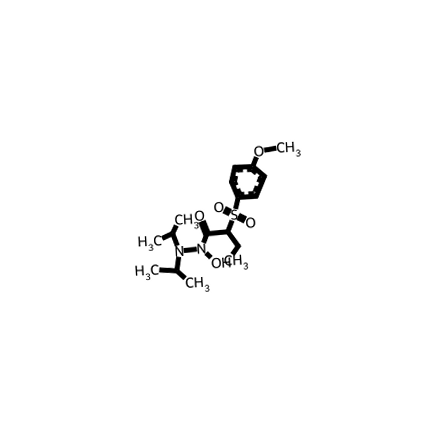 CCC(C(=O)N(O)N(C(C)C)C(C)C)S(=O)(=O)c1ccc(OC)cc1